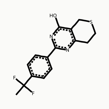 CC(F)(F)c1ccc(-c2nc(O)c3c(n2)CCSC3)cc1